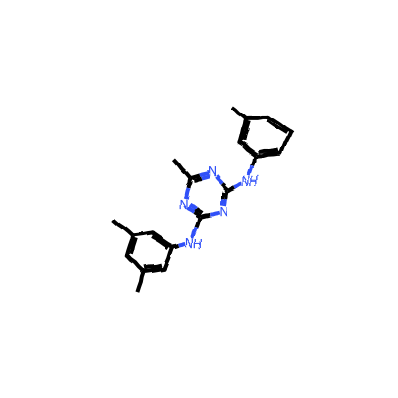 Cc1cccc(Nc2nc(C)nc(Nc3cc(C)cc(C)c3)n2)c1